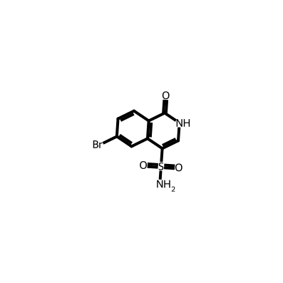 NS(=O)(=O)c1c[nH]c(=O)c2ccc(Br)cc12